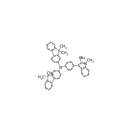 Cn1c(C(C)(C)C)c(-c2ccc(N(c3ccc4c(c3)C(C)(C)c3ccccc3-4)c3ccc4c(c3)C(C)(C)c3ccccc3-4)cc2)c2ccccc21